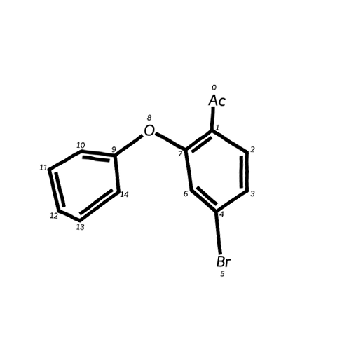 CC(=O)c1ccc(Br)cc1Oc1ccccc1